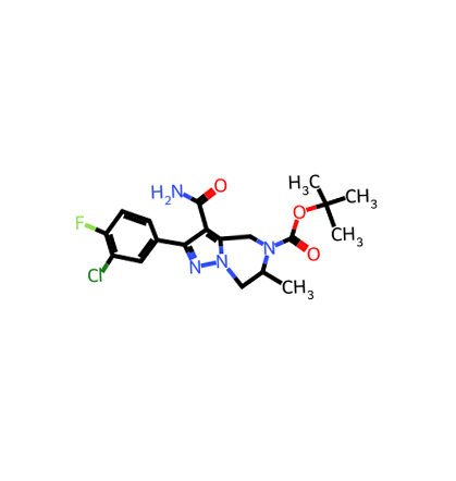 CC1Cn2nc(-c3ccc(F)c(Cl)c3)c(C(N)=O)c2CN1C(=O)OC(C)(C)C